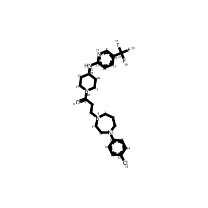 O=C(CCN1CCCN(c2ccc(Cl)cc2)CC1)N1CCC(Nc2ccc(C(F)(F)F)cn2)CC1